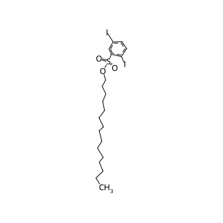 CCCCCCCCCCCCCCCOS(=O)(=O)c1cc(I)ccc1I